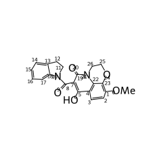 COc1ccc2c(O)c(C(=O)N3CCc4ccccc43)c(=O)n3c2c1OCC3